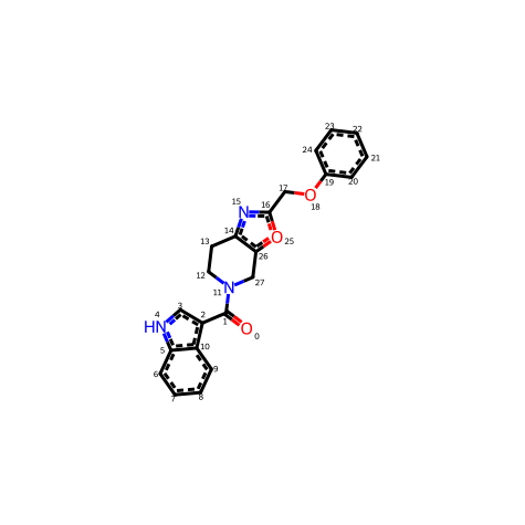 O=C(c1c[nH]c2ccccc12)N1CCc2nc(COc3ccccc3)oc2C1